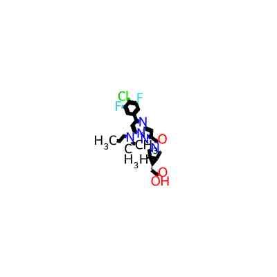 CCCN(c1cc(-c2cc(F)c(Cl)c(F)c2)nc2cc(C(=O)N3CC4[C@@H](C3)[C@H]4CC(=O)O)nn12)C(C)C